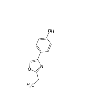 CCc1nc(-c2ccc(O)cc2)co1